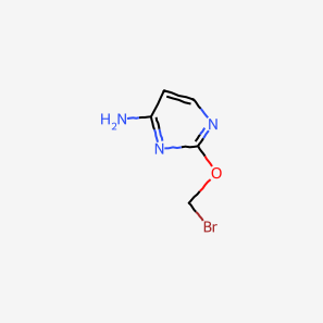 Nc1ccnc(OCBr)n1